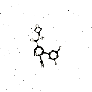 N#Cc1ncc(C(=O)NC2COC2)cc1-c1cc(F)cc(F)c1